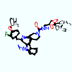 COc1ccc(Cc2nc3c(c4c2[nH]c2ccccc24)CCN(C(=O)NCC2COC(C)(C)O2)C3)cc1F